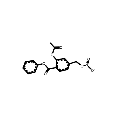 CC(=O)Oc1cc(CO[N+](=O)[O-])ccc1C(=O)Oc1ccccc1